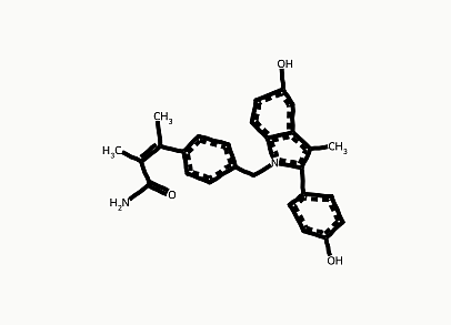 CC(C(N)=O)=C(C)c1ccc(Cn2c(-c3ccc(O)cc3)c(C)c3cc(O)ccc32)cc1